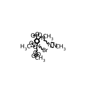 CCS(=O)(=O)c1cc([N+](=O)[O-])c(C(=O)N(C)CCCN2CCN(C)CC2)cc1N(CCBr)CCOS(C)(=O)=O